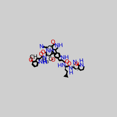 COc1cc(C2CNC(=O)[C@H](C[C@H](C#N)NC(=O)[C@@H](CC3CC3)NC(=O)c3cc4c(OC)cccc4[nH]3)C2)cc2[nH]c(C(=O)N[C@H](CCC3CC3)C(=O)N[C@H](C#N)C[C@@H]3CCCNC3=O)cc12